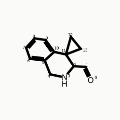 O=CC1NCc2ccccc2C12CC2